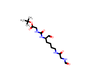 CC(C)(C)OC(=O)CNC(=O)NC(C=O)CCCCNC(=O)CNC=O